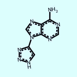 Nc1ncnc2c1ncn2-c1c[nH]nn1